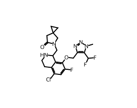 Cn1nnc(COc2c(F)cc(Cl)c3c2C(CN2CC4(CC4)CC2=O)NCC3)c1C(F)F